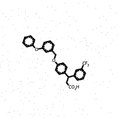 O=C(O)CC(c1ccc(OCc2cccc(Oc3ccccc3)c2)cc1)c1cccc(C(F)(F)F)c1